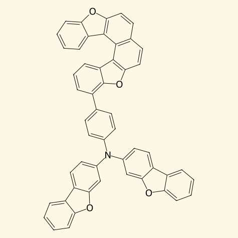 c1ccc2c(c1)oc1cc(N(c3ccc(-c4cccc5c4oc4ccc6ccc7oc8ccccc8c7c6c45)cc3)c3ccc4c(c3)oc3ccccc34)ccc12